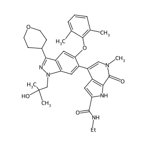 CCNC(=O)c1cc2c(-c3cc4c(cc3Oc3c(C)cccc3C)c(C3CCOCC3)nn4CC(C)(C)O)cn(C)c(=O)c2[nH]1